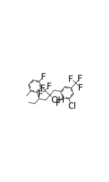 CCC(CC(O)(Cc1cc(C(F)(F)F)cc(Cl)c1F)C(F)(F)F)c1cc(F)ccc1C